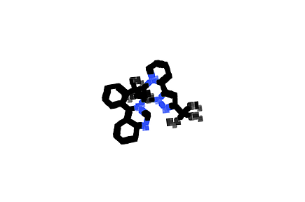 Cn1nc(C(C)(C)C)cc1-c1cccc[n+]1C1C2(C)c3ccccc3-c3c4ccccc4nc[n+]3C12C